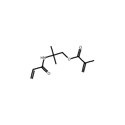 C=CC(=O)NC(C)(C)COC(=O)C(=C)C